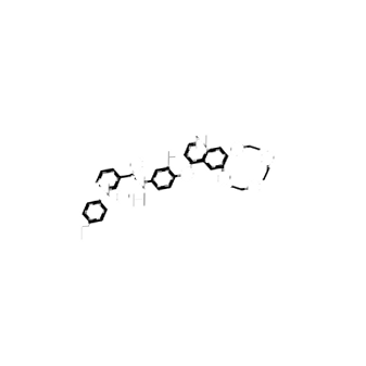 O=C(Nc1ccc(Oc2ccnc3cc4c(cc23)OCCOCCOCCO4)c(F)c1)c1cccn(-c2ccc(F)cc2)c1=O